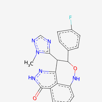 Cn1ncnc1C1c2n[nH]c(=O)c3cccc(c23)NOC1c1ccc(F)cc1